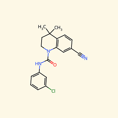 CC1(C)CCN(C(=O)Nc2cccc(Cl)c2)c2cc(C#N)ccc21